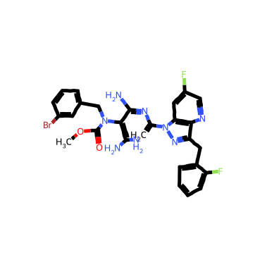 C=C(/N=C(/N)C(=C(N)N)N(Cc1cccc(Br)c1)C(=O)OC)n1nc(Cc2ccccc2F)c2ncc(F)cc21